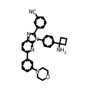 N#Cc1cccc(-c2nc3ccc(-c4cccc(N5CCOCC5)c4)nc3n2-c2ccc(C3(N)CCC3)cc2)c1